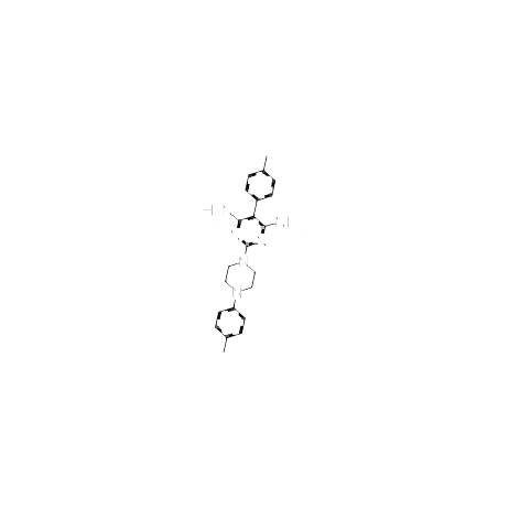 Cc1ccc(-c2c(N)nc(N3CCN(c4ccc(C)cc4)CC3)nc2N)cc1